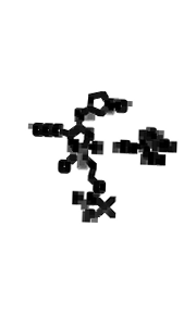 CC(C)C(C)(C)[SiH2]OCC[C@H]1C(=O)N2C(C(=O)[O-])=C(S[C@H]3CC[S@@+]([O-])C3)S[C@H]12.CCCC[N+](CCCC)(CCCC)CCCC